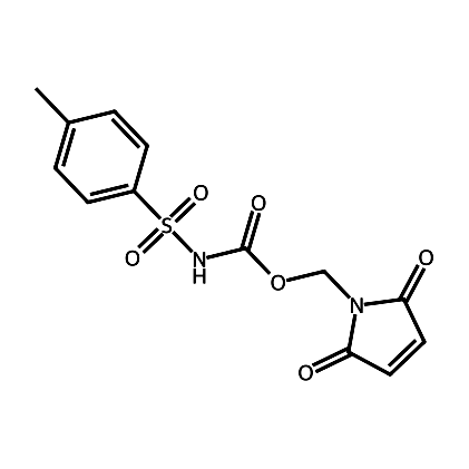 Cc1ccc(S(=O)(=O)NC(=O)OCN2C(=O)C=CC2=O)cc1